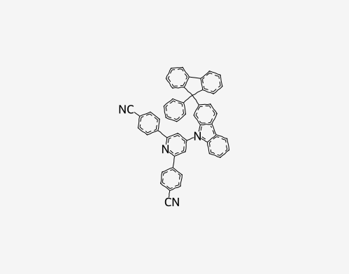 N#Cc1ccc(-c2cc(-n3c4ccccc4c4ccc(C5(c6ccccc6)c6ccccc6-c6ccccc65)cc43)cc(-c3ccc(C#N)cc3)n2)cc1